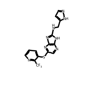 FC(F)(F)c1ncccc1Sc1cnc2[nH]c(NCc3ccn[nH]3)nc2n1